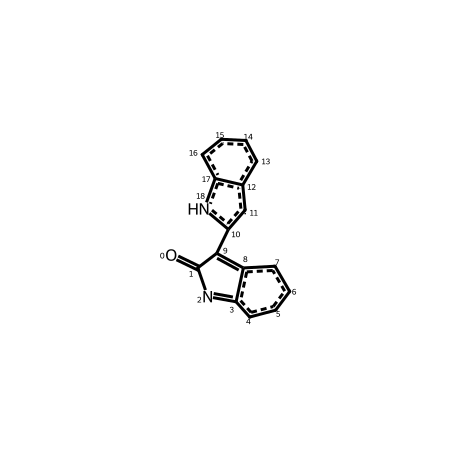 O=C1N=c2ccccc2=C1c1[c]c2ccccc2[nH]1